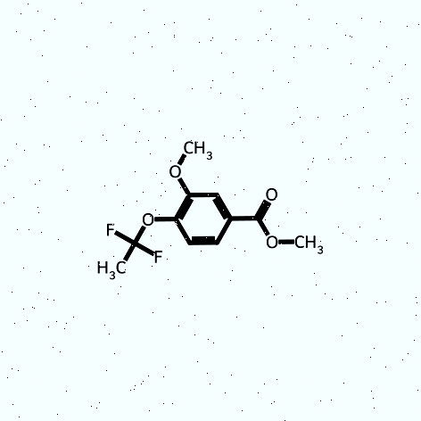 COC(=O)c1ccc(OC(C)(F)F)c(OC)c1